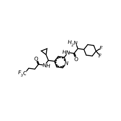 NC(C(=O)Nc1cc(C(NC(=O)CCC(F)(F)F)C2CC2)ccn1)C1CCC(F)(F)CC1